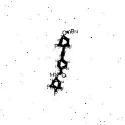 CCCCOc1cc(F)c(C#Cc2ccc(C(=O)Nc3cc(F)c(F)c(F)c3)cc2)c(F)c1